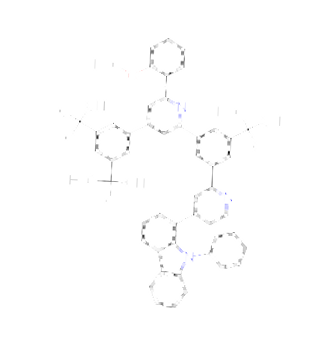 COc1ccccc1-c1cc(-c2cc(C(C)(C)C)cc(C(C)(C)C)c2)cc(-c2cc(-c3cc(-c4cccc5c6ccccc6n(-c6ccccc6)c45)ccn3)cc(C(C)(C)C)c2)n1